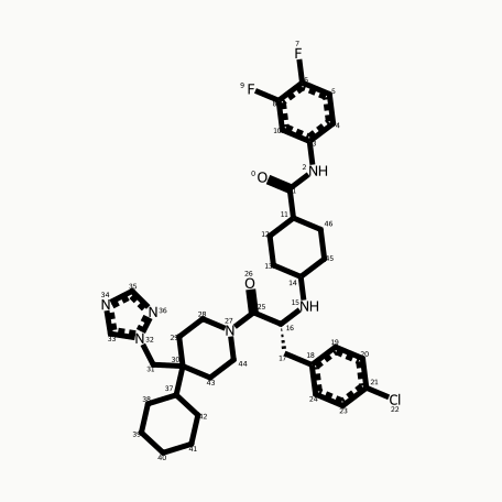 O=C(Nc1ccc(F)c(F)c1)C1CCC(N[C@H](Cc2ccc(Cl)cc2)C(=O)N2CCC(Cn3cncn3)(C3CCCCC3)CC2)CC1